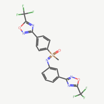 CS(=O)(=Nc1cccc(-c2noc(C(F)(F)F)n2)c1)c1ccc(-c2noc(C(F)(F)F)n2)cc1